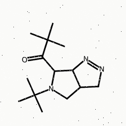 CC(C)(C)C(=O)C1C2N=NCC2CN1C(C)(C)C